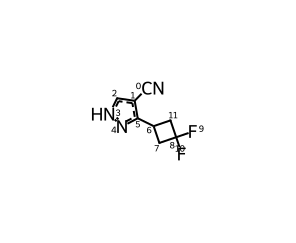 N#Cc1c[nH]nc1C1CC(F)(F)C1